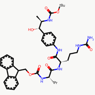 CC(C)[C@H](NC(=O)OCC1c2ccccc2-c2ccccc21)C(=O)N[C@@H](CCCNC(N)=O)C(=O)Nc1ccc([C@H](O)[C@@H](C)NC(=O)OC(C)(C)C)cc1